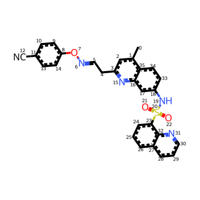 Cc1cc(CC=NOc2ccc(C#N)cc2)nc2cc(NS(=O)(=O)c3cccc4cccnc34)ccc12